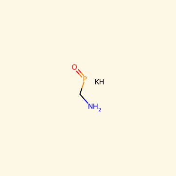 NCP=O.[KH]